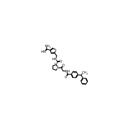 CC(c1ccccc1)c1ccc(C(=O)NCC(=O)N2CCC[C@H]2C(=O)NCc2cc(C(=N)N)cs2)cc1